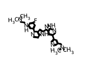 CN(C)CCNc1cc(F)cc(-c2nccc3[nH]c(-c4n[nH]c5ncc(-c6cncc(CN(C)C)c6)cc45)cc23)c1